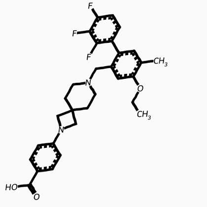 CCOc1cc(CN2CCC3(CC2)CN(c2ccc(C(=O)O)cc2)C3)c(-c2ccc(F)c(F)c2F)cc1C